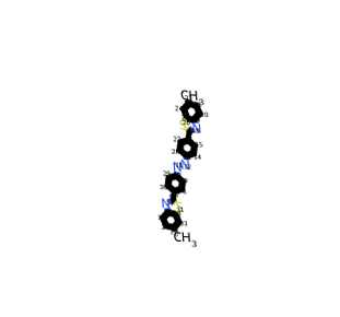 Cc1ccc2nc(-c3ccc(N=Nc4ccc(-c5nc6ccc(C)cc6s5)cc4)cc3)sc2c1